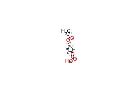 CCCC(=O)OCCc1ccc(OCC(=O)O)cc1